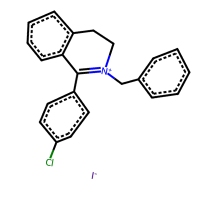 Clc1ccc(C2=[N+](Cc3ccccc3)CCc3ccccc32)cc1.[I-]